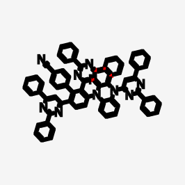 N#Cc1ccc(-c2c(-c3cc(-c4ccccc4)nc(-c4ccccc4)n3)ccc(N3c4ccccc4N(c4cc(-c5ccccc5)nc(-c5ccccc5)n4)c4ccccc43)c2-c2nc(-c3ccccc3)nc(-c3ccccc3)n2)cc1